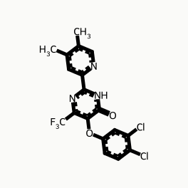 Cc1cnc(-c2nc(C(F)(F)F)c(Oc3ccc(Cl)c(Cl)c3)c(=O)[nH]2)cc1C